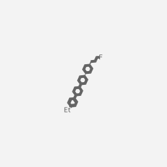 CCc1ccc(C2CCC(C3CCC([C@H]4CC[C@H](CCCF)CC4)CC3)CC2)cc1